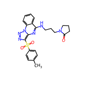 Cc1ccc(S(=O)(=O)c2nnn3c2nc(NCCCN2CCCC2=O)c2ccccc23)cc1